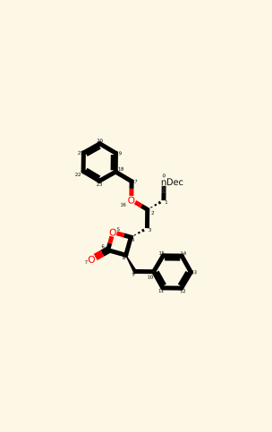 CCCCCCCCCCC[C@H](C[C@H]1OC(=O)[C@@H]1Cc1ccccc1)OCc1ccccc1